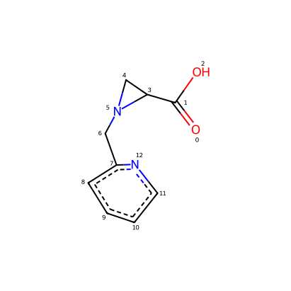 O=C(O)C1CN1Cc1ccccn1